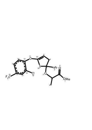 CCCC1(OC(C)C(=O)OC)CC=C(Oc2ccc(C(F)(F)F)cc2Cl)S1